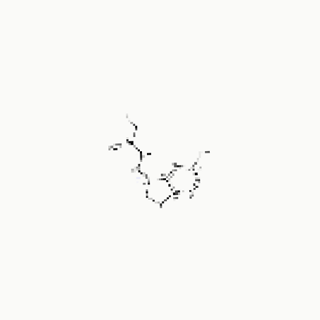 CCC(=O)N/N=C1/CCc2ccc(F)cc21